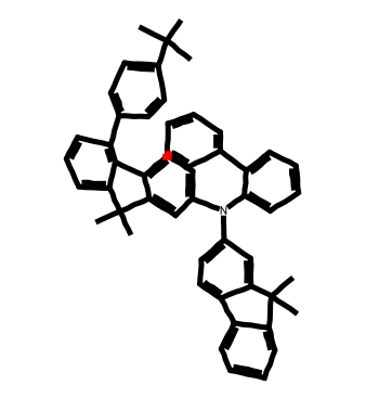 CC(C)(C)c1ccc(-c2cccc3c2-c2ccc(N(c4ccc5c(c4)C(C)(C)c4ccccc4-5)c4ccccc4-c4ccccc4)cc2C3(C)C)cc1